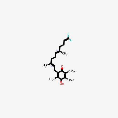 COC1=C(OC)C(O)C(C)=C(C/C=C(\C)CC/C=C(\C)CCC=C(F)F)C1=O